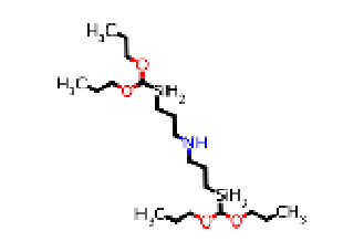 CCCOC(OCCC)[SiH2]CCCNCCC[SiH2]C(OCCC)OCCC